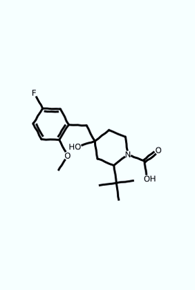 COc1ccc(F)cc1CC1(O)CCN(C(=O)O)C(C(C)(C)C)C1